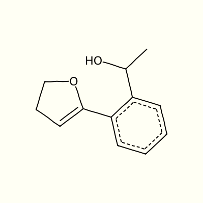 CC(O)c1ccccc1C1=CCCO1